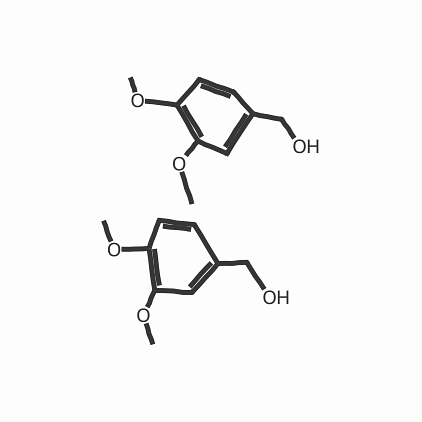 COc1ccc(CO)cc1OC.COc1ccc(CO)cc1OC